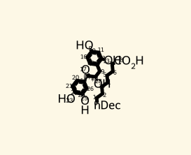 CCCCCCCCCCCCCCCCCC(=O)O.Oc1cc(O)c2c(c1)O[C@H](c1ccc(O)c(O)c1)[C@@H](O)C2